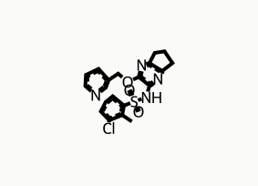 Cc1c(Cl)cccc1S(=O)(=O)Nc1nc2c(nc1OCc1cccnc1)CCC2